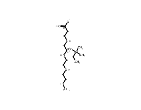 CC[N+](C)(C)C.COCCOCCOCCOCCC(=O)[O-]